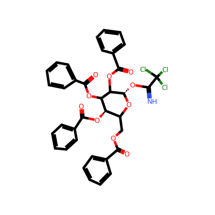 N=C(O[C@@H]1OC(COC(=O)c2ccccc2)[C@@H](OC(=O)c2ccccc2)C(OC(=O)c2ccccc2)C1OC(=O)c1ccccc1)C(Cl)(Cl)Cl